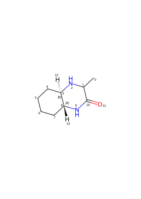 CC1N[C@@H]2CCCC[C@H]2NC1=O